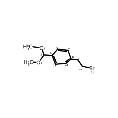 COC(OC)c1ccc(CCBr)cc1